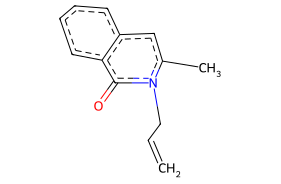 C=CCn1c(C)cc2ccccc2c1=O